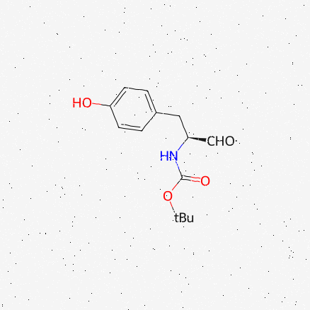 CC(C)(C)OC(=O)N[C@H]([C]=O)Cc1ccc(O)cc1